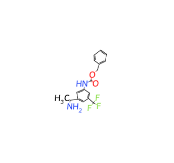 CC(N)c1cc(NC(=O)OCc2ccccc2)cc(C(F)(F)F)c1